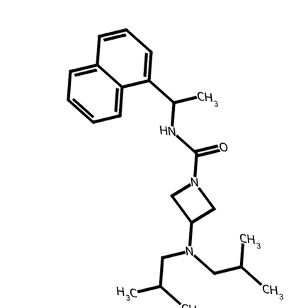 CC(C)CN(CC(C)C)C1CN(C(=O)NC(C)c2cccc3ccccc23)C1